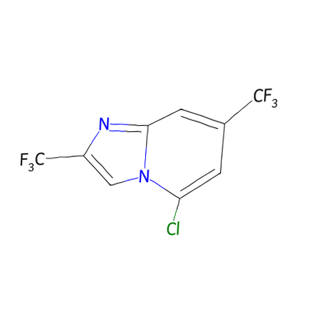 FC(F)(F)c1cc(Cl)n2cc(C(F)(F)F)nc2c1